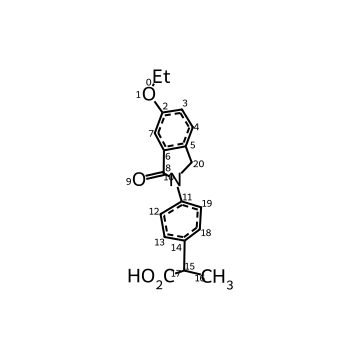 CCOc1ccc2c(c1)C(=O)N(c1ccc(C(C)C(=O)O)cc1)C2